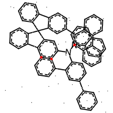 c1ccc(-c2ccc(N(c3ccc4c(c3)C3(c5ccccc5-c5ccc(-c6nc7ccccc7c7ccccc67)cc53)c3ccccc3-4)c3cccc4ccccc34)c(-c3ccccc3)c2)cc1